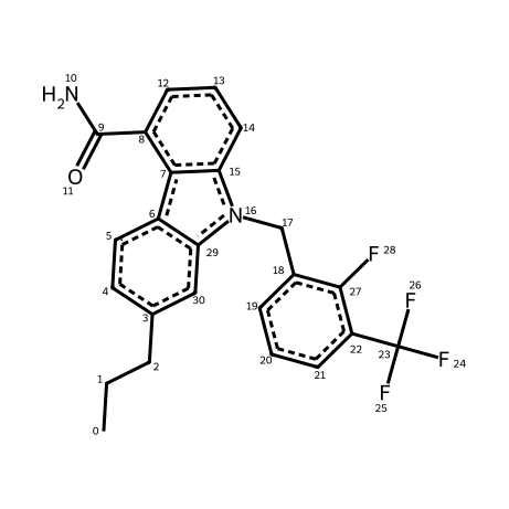 CCCc1c[c]c2c3c(C(N)=O)cccc3n(Cc3cccc(C(F)(F)F)c3F)c2c1